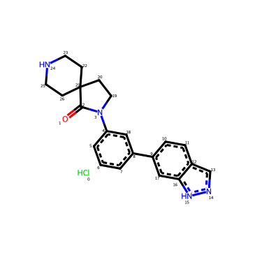 Cl.O=C1N(c2cccc(-c3ccc4cn[nH]c4c3)c2)CCC12CCNCC2